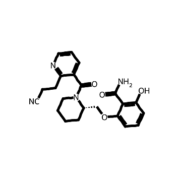 N#CCCc1ncccc1C(=O)N1CCCC[C@H]1COc1cccc(O)c1C(N)=O